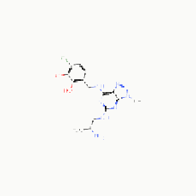 CC(N)CNc1nc(NCc2ccc(Cl)c(O)c2O)c2nnn(C)c2n1